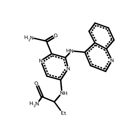 CCC(Nc1cnc(C(N)=O)c(Nc2ccnc3ccccc23)n1)C(N)=O